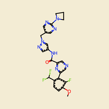 COc1ccc(C(F)F)c(-c2cncc(C(=O)Nc3cnn(Cc4cnc(N5CCC5)nc4)c3)n2)c1F